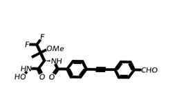 COC(C)(C(F)F)[C@H](NC(=O)c1ccc(C#Cc2ccc(C=O)cc2)cc1)C(=O)NO